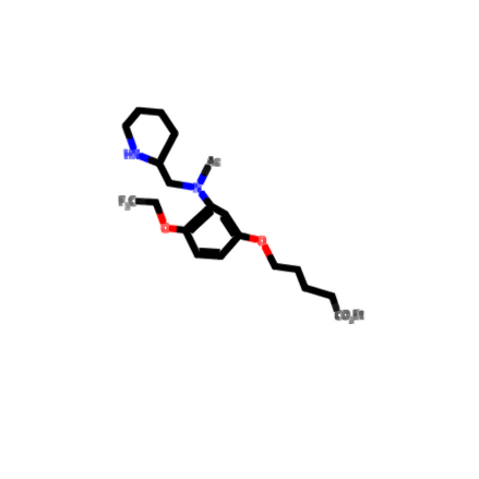 CCOC(=O)CCCCOc1ccc(OCC(F)(F)F)c(N(CC2CCCCN2)C(C)=O)c1